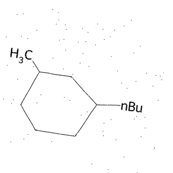 CC[CH]CC1CCCC(C)C1